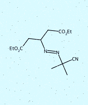 CCOC(=O)CC(CC(=O)OCC)N=NC(C)(C)C#N